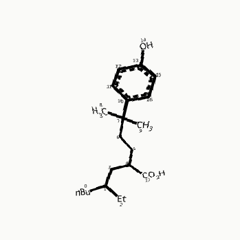 CCCCC(CC)CC(CCC(C)(C)c1ccc(O)cc1)C(=O)O